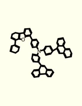 C1=CC(C2=CCCc3c2oc2c(-c4ccc(N(c5ccc(-c6cc7ccccc7c7ccccc67)cc5)c5cccc(-c6cc7ccccc7c7ccccc67)c5)cc4)cccc32)=CCC1